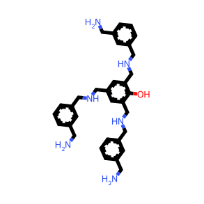 NCc1cccc(CNCc2cc(CNCc3cccc(CN)c3)c(O)c(CNCc3cccc(CN)c3)c2)c1